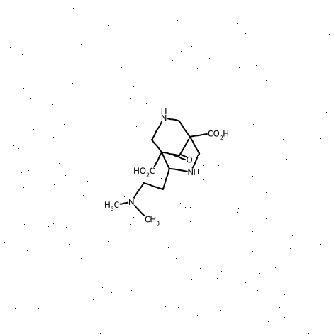 CN(C)CCC1NCC2(C(=O)O)CNCC1(C(=O)O)C2=O